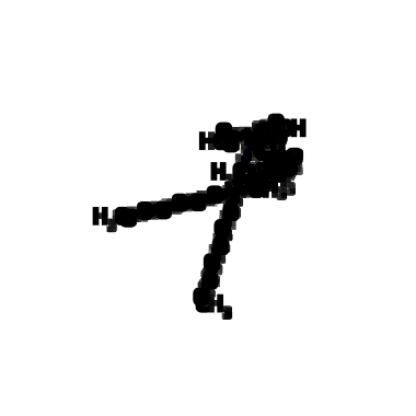 C=C(/C=C(\c1ccc(N(CCOCCOCCOCCOCCOCCOC)CCOCCOCCOCCOCCOCCOC)cc1O)C(C)(C)C)/C=C/C=C1/N(CCCS(=O)(=O)O)c2ccc(S(=O)(=O)O)cc2C1(C)CCCC(=O)ON1C(=O)CCC1=O